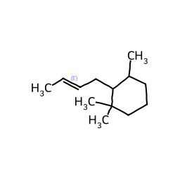 C/C=C/CC1C(C)CCCC1(C)C